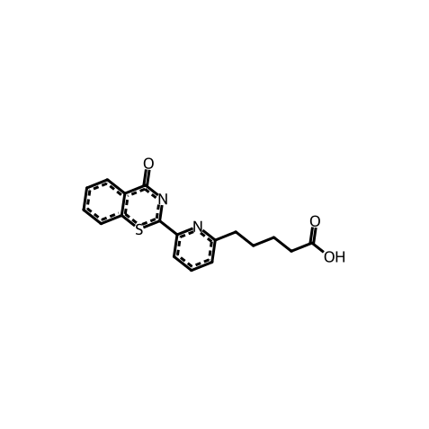 O=C(O)CCCCc1cccc(-c2nc(=O)c3ccccc3s2)n1